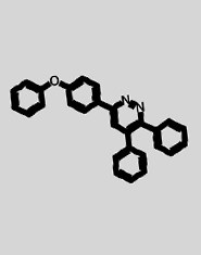 c1ccc(Oc2ccc(-c3cc(-c4ccccc4)c(-c4ccccc4)nn3)cc2)cc1